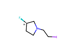 F[C@@H]1CCN(CCI)C1